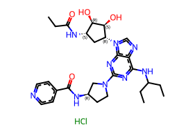 CCC(=O)N[C@H]1C[C@@H](n2cnc3c(NC(CC)CC)nc(N4CC[C@@H](NC(=O)c5ccncc5)C4)nc32)[C@H](O)[C@@H]1O.Cl